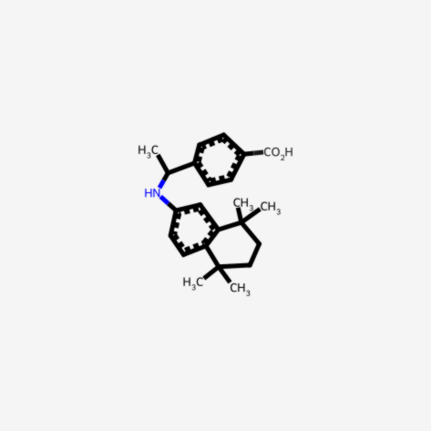 CC(Nc1ccc2c(c1)C(C)(C)CCC2(C)C)c1ccc(C(=O)O)cc1